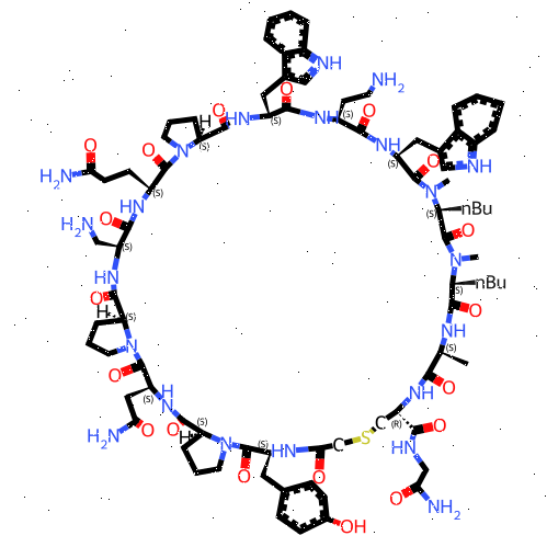 CCCC[C@H]1C(=O)N(C)[C@@H](CCCC)C(=O)N[C@@H](C)C(=O)N[C@H](C(=O)NCC(N)=O)CSCC(=O)N[C@@H](Cc2ccc(O)cc2)C(=O)N2CCC[C@H]2C(=O)N[C@@H](CC(N)=O)C(=O)N2CCC[C@H]2C(=O)N[C@@H](CN)C(=O)N[C@@H](CCC(N)=O)C(=O)N2CCC[C@H]2C(=O)N[C@@H](Cc2c[nH]c3ccccc23)C(=O)N[C@@H](CCN)C(=O)N[C@@H](Cc2c[nH]c3ccccc23)C(=O)N1C